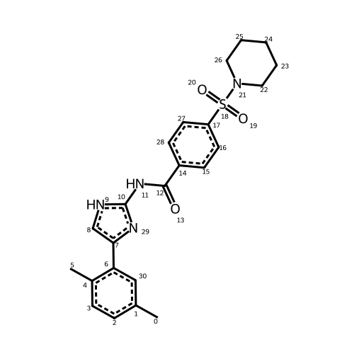 Cc1ccc(C)c(-c2c[nH]c(NC(=O)c3ccc(S(=O)(=O)N4CCCCC4)cc3)n2)c1